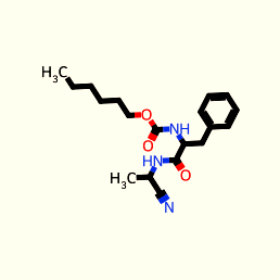 CCCCCCOC(=O)NC(Cc1ccccc1)C(=O)NC(C)C#N